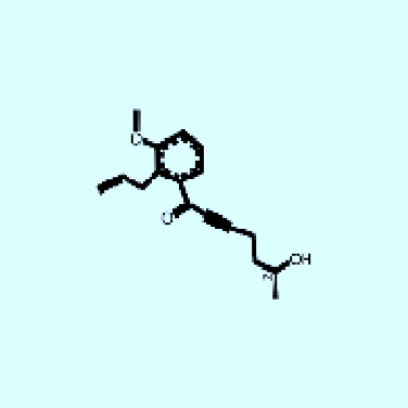 C=CCc1c(OC)cccc1C(=O)C#CCC[C@H](C)O